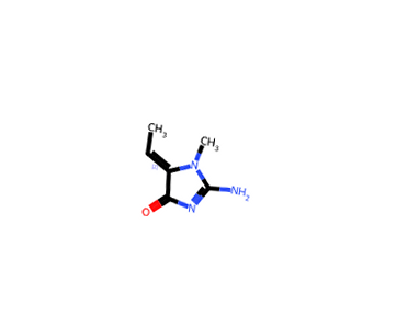 C/C=C1/C(=O)N=C(N)N1C